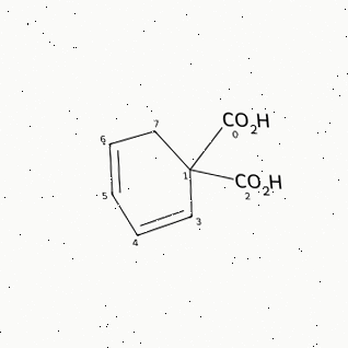 O=C(O)C1(C(=O)O)C=CC=[C]C1